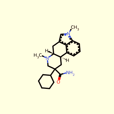 CN1CC(C(N)=O)(C2CCCCC2)C[C@@H]2c3cccc4c3c(cn4C)C[C@H]21